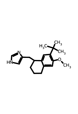 COc1cc2c(cc1C(C)(C)C)C(Cc1c[nH]cn1)CCC2